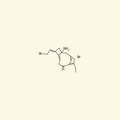 CCC1=C2C=C(CC3(N)CC(=C/CBr)/C3=C\CN2)[C@@H]1Br